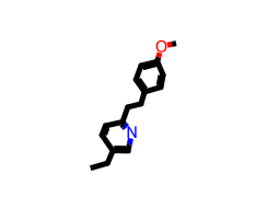 CCc1ccc(CCc2ccc(OC)cc2)nc1